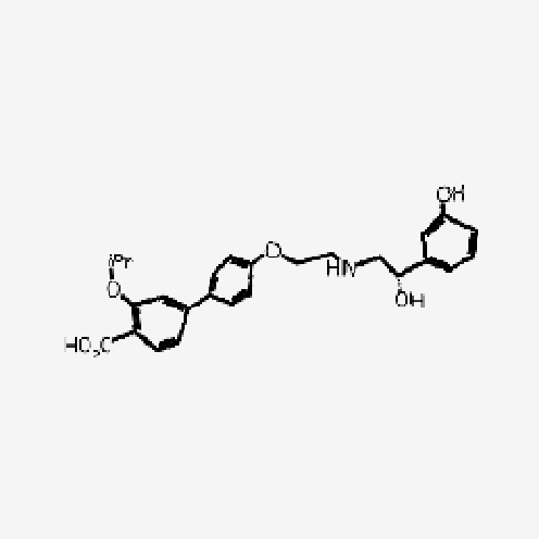 CC(C)Oc1cc(-c2ccc(OCCNC[C@@H](O)c3cccc(O)c3)cc2)ccc1C(=O)O